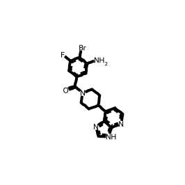 Nc1cc(C(=O)N2CCC(c3ccnc4[nH]cnc34)CC2)cc(F)c1Br